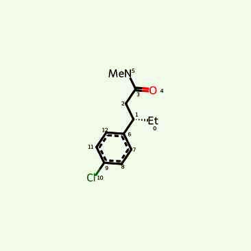 CC[C@@H](CC(=O)NC)c1ccc(Cl)cc1